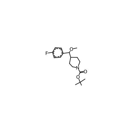 COC(c1ccc(F)cc1)C1CCN(C(=O)OC(C)(C)C)CC1